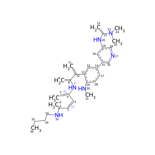 C=C(/C=C\C(=C/C)NC(=C)C(=C)c1cc(-c2cncc(NC(=C)N(C)C)c2)ccc1NC)NCCCC